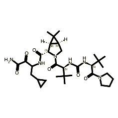 CC(C)(C)[C@H](NC(=O)N[C@H](C(=O)N1C[C@H]2[C@@H]([C@H]1C(=O)NC(CC1CC1)C(=O)C(N)=O)C2(C)C)C(C)(C)C)C(=O)N1CCCC1